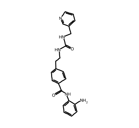 Nc1ccccc1NC(=O)c1ccc(CCNC(=O)NCc2cccnc2)cc1